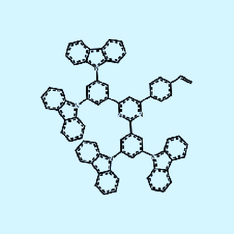 C=Cc1ccc(-c2cc(-c3cc(-n4c5ccccc5c5ccccc54)cc(-n4c5ccccc5c5ccccc54)c3)nc(-c3cc(-n4c5ccccc5c5ccccc54)cc(-n4c5ccccc5c5ccccc54)c3)n2)cc1